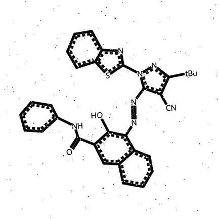 CC(C)(C)c1nn(-c2nc3ccccc3s2)c(/N=N/c2c(O)c(C(=O)Nc3ccccc3)cc3ccccc23)c1C#N